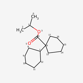 CC(C)OC(=O)C1(C2CCCCC2)CCCCC1